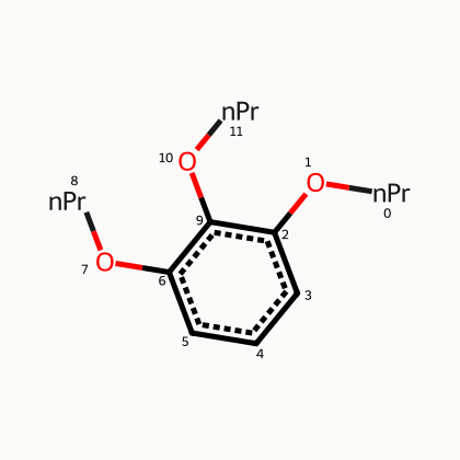 CCCOc1cccc(OCCC)c1OCCC